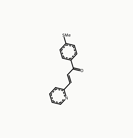 CSc1ccc(C(=O)C=Cc2ccccn2)cc1